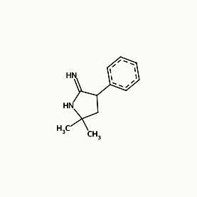 CC1(C)CC(c2ccccc2)C(=N)N1